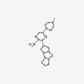 Cc1ccc(-c2cnc(N)c(-c3cc4sc5ccsc5c4s3)n2)cc1